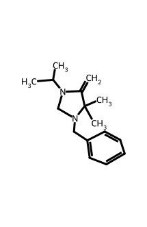 C=C1N(C(C)C)CN(Cc2ccccc2)C1(C)C